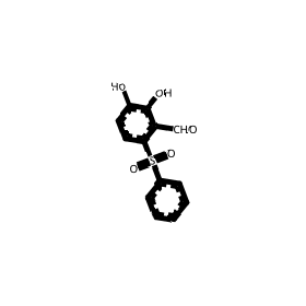 O=Cc1c(S(=O)(=O)c2ccccc2)ccc(O)c1O